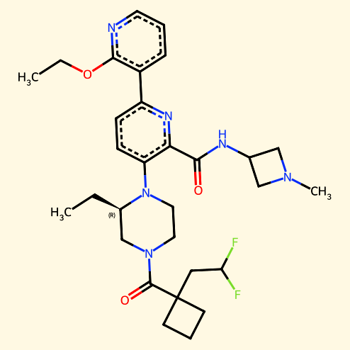 CCOc1ncccc1-c1ccc(N2CCN(C(=O)C3(CC(F)F)CCC3)C[C@H]2CC)c(C(=O)NC2CN(C)C2)n1